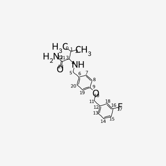 CC(C)C(NCc1ccc(OCc2cccc(F)c2)cc1)C(N)=O